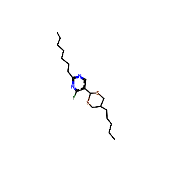 CCCCCCCc1ncc(C2SCC(CCCCC)CS2)c(F)n1